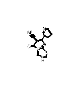 N#Cc1c(-c2cccnc2)nc2n(c1=O)CNCS2